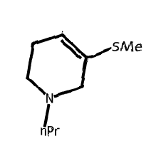 CCCN1CC[C]=C(SC)C1